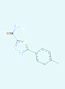 Cc1ccc(-c2nnc(C(N)=O)s2)cc1